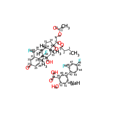 CCCC(=O)O[C@]1(C(=O)COC(C)=O)CC[C@H]2[C@@H]3C[C@H](F)C4=CC(=O)C=C[C@]4(C)[C@@]3(F)[C@@H](O)C[C@@]21C.O=C(O)c1cc(-c2ccc(F)cc2F)ccc1O.[NaH]